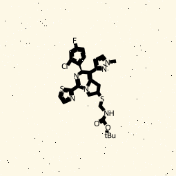 Cn1ccc(C2=C3CC(SCNC(=O)OC(C)(C)C)CN3C(c3nccs3)=N[C@H]2c2ccc(F)cc2Cl)n1